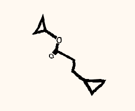 O=C(CCC1CC1)OC1CC1